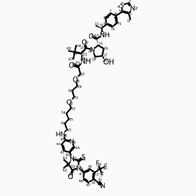 Cc1ncsc1-c1ccc([C@H](C)NC(=O)[C@@H]2C[C@@H](O)CN2C(=O)[C@@H](NC(=O)COCCCOCCCCCNc2ccc(N3C(=S)N(c4ccc(C#N)c(C(F)(F)F)c4)C(=O)C3(C)C)cn2)C(C)(C)C)cc1